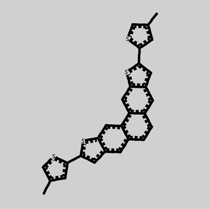 Cc1csc(-c2cc3cc4ccc5cc6cc(-c7cc(C)cs7)sc6cc5c4cc3s2)c1